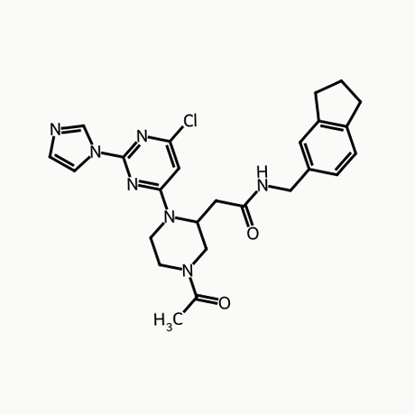 CC(=O)N1CCN(c2cc(Cl)nc(-n3ccnc3)n2)C(CC(=O)NCc2ccc3c(c2)CCC3)C1